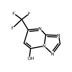 Oc1cc(C(F)(F)F)nc2ncnn12